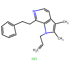 C=CCn1c(C)c(C)c2ccnc(CCc3ccccc3)c21.Cl